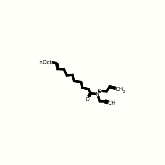 C#CCN(OCC=C)C(=O)CCCCCCCC=CCCCCCCCC